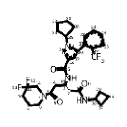 O=C(C[C@H](CC(=O)N1CCCC(F)(F)C1)NC(=O)c1cc(-c2ccccc2C(F)(F)F)n(C2CCCC2)n1)NC1CCC1